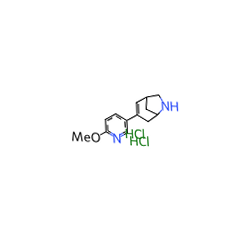 COc1ccc(C2=CC3CNC(C2)C3)cn1.Cl.Cl